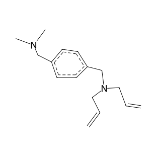 C=CCN(CC=C)Cc1ccc(CN(C)C)cc1